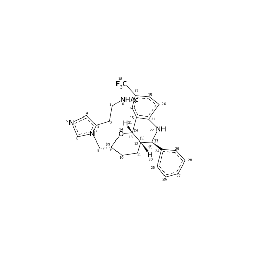 CC(=O)NCCc1cncn1C[C@H]1CC[C@@H]2[C@H](O1)c1cc(C(F)(F)F)ccc1N[C@H]2c1ccccc1